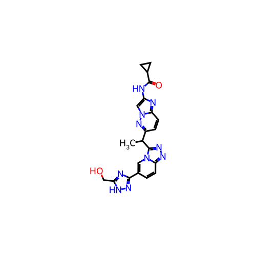 CC(c1ccc2nc(NC(=O)C3CC3)cn2n1)c1nnc2ccc(-c3n[nH]c(CO)n3)cn12